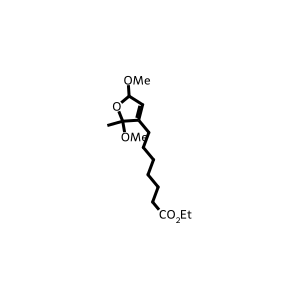 CCOC(=O)CCCCCCC1=CC(OC)OC1(C)OC